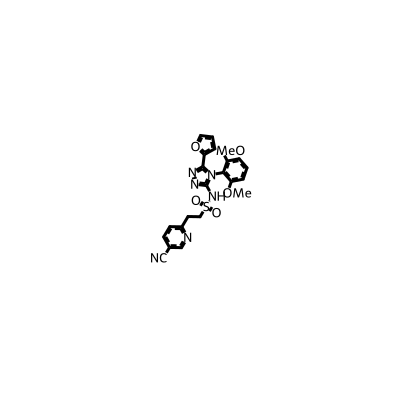 COc1cccc(OC)c1-n1c(NS(=O)(=O)CCc2ccc(C#N)cn2)nnc1-c1ccco1